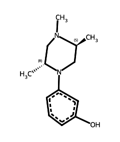 C[C@@H]1CN(C)[C@@H](C)CN1c1cccc(O)c1